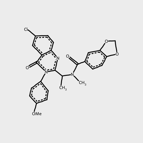 COc1ccc(-n2c(C(C)N(C)C(=O)c3ccc4c(c3)OCO4)nc3ccc(Cl)cc3c2=O)cc1